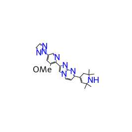 COc1cc(-n2nccn2)cnc1-c1cn2ccc(C3=CC(C)(C)NC(C)(C)C3)nc2n1